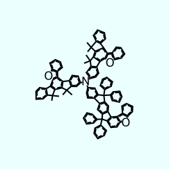 CC1(C)c2cc(N(c3ccc4c(c3)C(C)(C)c3c5c(c6oc7ccccc7c6c3-4)-c3ccccc3C5(C)C)c3ccc4c(c3)C(c3ccccc3)(c3ccccc3)c3cc5c(cc3-4)C(c3ccccc3)(c3ccccc3)c3ccc4oc6ccccc6c4c3-5)ccc2-c2c1c1c(c3c2oc2ccccc23)-c2ccccc2C1(C)C